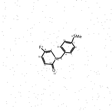 CSc1ccc(Cn2cc(F)ccc2=O)cc1